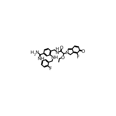 CCOC(C(=O)NCc1ccc(C(=N)N)cc1NCc1ccccc1F)N1C=C2C=CC(=O)C(F)=C2C1